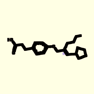 CCCC/C(=C\C1CCCC1)COc1ccc(CCC(=O)O)cc1